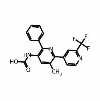 Cc1cc(NC(=O)O)c(-c2ccccc2)nc1-c1ccnc(C(F)(F)F)c1